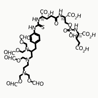 O=COCN(CCN(COC=O)CC(Cc1ccc(NC(=S)N[C@@H](CCC(=O)N[C@@H](COP(=O)(O)N[C@@H](CCC(=O)O)C(=O)O)C(=O)O)C(=O)O)cc1)N(COC=O)COC=O)COC=O